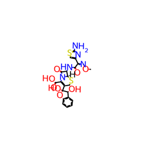 CO/N=C(\C(=O)N[C@@H]1C(=O)N2C(C(=O)O)=C([C@@]3(O)Oc4ccccc4C3O)CS[C@H]12)c1csc(N)n1